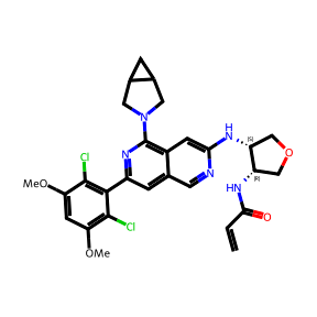 C=CC(=O)N[C@H]1COC[C@H]1Nc1cc2c(N3CC4CC4C3)nc(-c3c(Cl)c(OC)cc(OC)c3Cl)cc2cn1